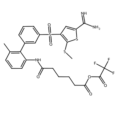 CSc1sc(C(=N)N)cc1S(=O)(=O)c1cccc(-c2c(C)cccc2NC(=O)CCCCC(=O)OC(=O)C(F)(F)F)c1